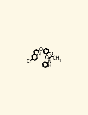 CC(Oc1ccc(Oc2ccc3cc(Cl)ccc3n2)cc1)C(=O)Nc1ccccc1